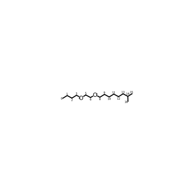 CCCCOCCOCCCCCCC(C)C